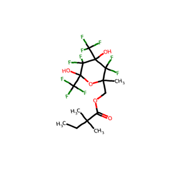 CCC(C)(C)C(=O)OCC1(C)OC(O)(C(F)(F)F)C(F)(F)C(O)(C(F)(F)F)C1(F)F